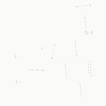 CC(C)CC1(c2cc(Cl)ccc2CNC2CC2)CC1